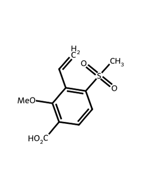 C=Cc1c(S(C)(=O)=O)ccc(C(=O)O)c1OC